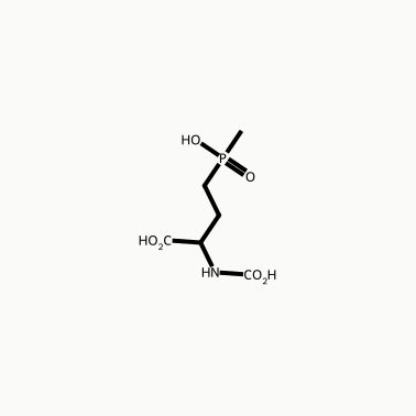 CP(=O)(O)CCC(NC(=O)O)C(=O)O